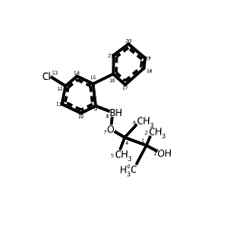 CC(C)(O)C(C)(C)OBc1ccc(Cl)cc1-c1ccccc1